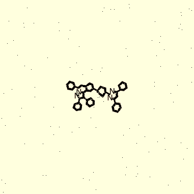 c1ccc(-c2cc(-c3ccccc3)nc(-c3ccc(-c4ccc5cc(-c6ccccc6)n6nc(-c7ccccc7)c(-c7ccccc7)c6c5c4)cc3)n2)cc1